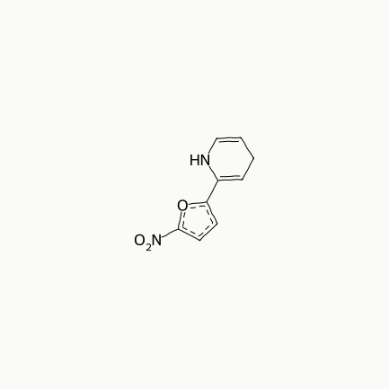 O=[N+]([O-])c1ccc(C2=CCC=CN2)o1